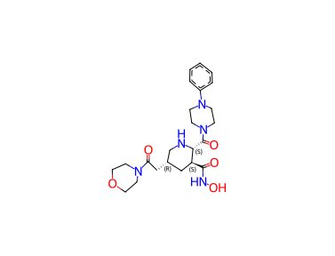 O=C(NO)[C@H]1C[C@H](CC(=O)N2CCOCC2)CN[C@@H]1C(=O)N1CCN(c2ccccc2)CC1